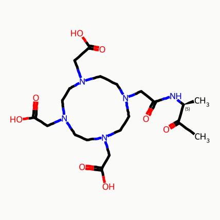 CC(=O)[C@H](C)NC(=O)CN1CCN(CC(=O)O)CCN(CC(=O)O)CCN(CC(=O)O)CC1